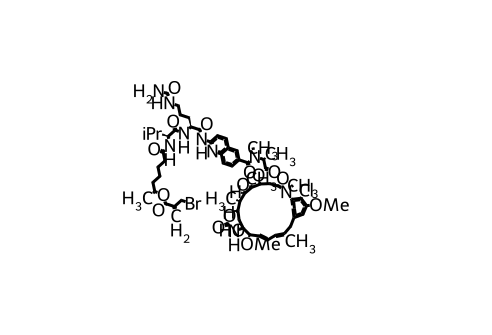 C=C(CBr)C(=O)OC(C)CCCCC(=O)N[C@H](C(=O)N[C@@H](CCCNC(N)=O)C(=O)Nc1ccc2cc(C(=O)N(C)[C@@H](C)C(=O)O[C@H]3CC(=O)N(C)c4cc(cc(OC)c4Cl)C/C(C)=C/C=C/[C@@H](OC)[C@@]4(O)C[C@H](OC(=O)N4)[C@@H](C)[C@@H]4O[C@@]34C)ccc2n1)C(C)C